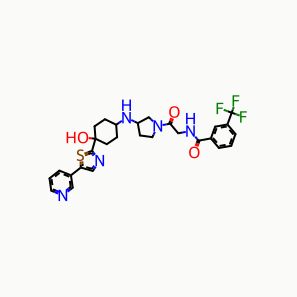 O=C(NCC(=O)N1CCC(NC2CCC(O)(c3ncc(-c4cccnc4)s3)CC2)C1)c1cccc(C(F)(F)F)c1